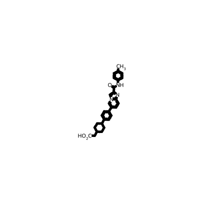 Cc1ccc(NC(=O)c2cn3cc(-c4ccc(C5CCC(CC(=O)O)CC5)cc4)ccc3n2)cc1